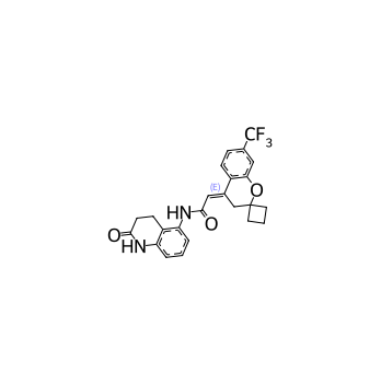 O=C(/C=C1\CC2(CCC2)Oc2cc(C(F)(F)F)ccc21)Nc1cccc2c1CCC(=O)N2